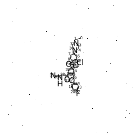 CCN1CCN(c2ccc(S(=O)(=O)[C@H]3C[C@@H](COc4ccc(F)cc4)[C@H](C(=O)CNC#N)C3)c(Cl)c2)CC1